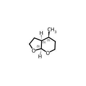 C[C@H]1CCO[C@H]2OCC[C@H]21